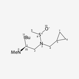 CN[C@H](CN(CC1CC1)[S+](C)[O-])C(C)(C)C